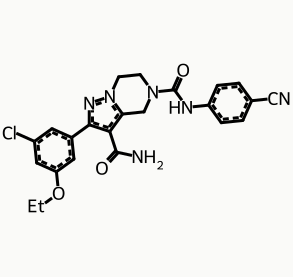 CCOc1cc(Cl)cc(-c2nn3c(c2C(N)=O)CN(C(=O)Nc2ccc(C#N)cc2)CC3)c1